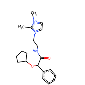 Cc1n(CCNC(=O)C(OC2CCCC2)c2ccccc2)cc[n+]1C